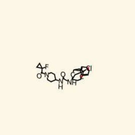 O=C(NC1CCN(C(=O)C2(F)CC2)CC1)NC12CC3CC(Cl)(CC(C1)c1ccccc13)C2